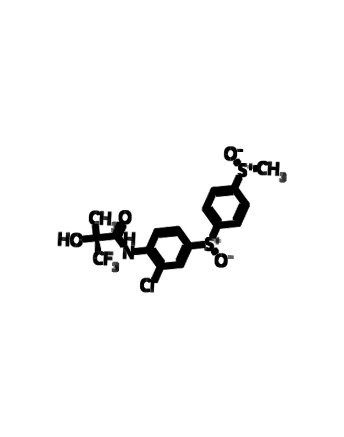 C[S+]([O-])c1ccc([S+]([O-])c2ccc(NC(=O)[C@@](C)(O)C(F)(F)F)c(Cl)c2)cc1